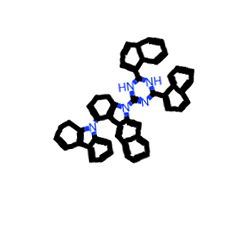 C1=CC2C=CC=C(C3NC(n4c5c(c6cc7ccccc7cc64)C(n4c6c(c7ccccc74)C=CCC6)=CCC5)=NC(c4cccc5ccccc45)N3)C2C=C1